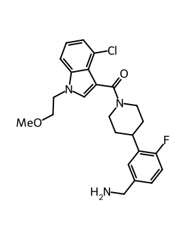 COCCn1cc(C(=O)N2CCC(c3cc(CN)ccc3F)CC2)c2c(Cl)cccc21